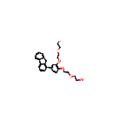 OCCOCCOc1ccc(-c2cccc3c2Cc2ccccc2-3)cc1OCCOCCO